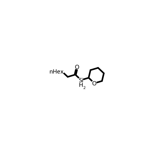 CCCCCCCC(=O)[SiH2]C1CCCCO1